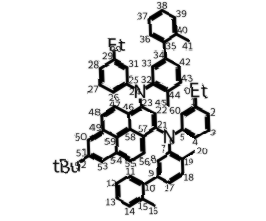 CCc1cccc(N(c2cc(-c3ccccc3C)ccc2C)c2cc(N(c3cccc(CC)c3)c3cc(-c4ccccc4C)ccc3C)c3ccc4cc(C(C)(C)C)cc5ccc2c3c54)c1